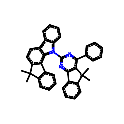 CC1(C)c2ccccc2-c2c1ccc1c3ccccc3n(-c3nc(-c4ccccc4)c4c(n3)-c3ccccc3[Si]4(C)C)c21